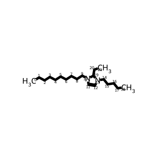 CCCCCCCCCCN1C=CN(CCCCC)C1CC